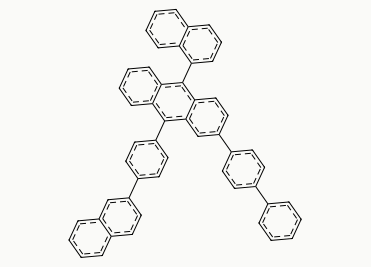 c1ccc(-c2ccc(-c3ccc4c(-c5cccc6ccccc56)c5ccccc5c(-c5ccc(-c6ccc7ccccc7c6)cc5)c4c3)cc2)cc1